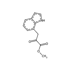 COC(=O)C(=O)Cc1cccc2cc[nH]c12